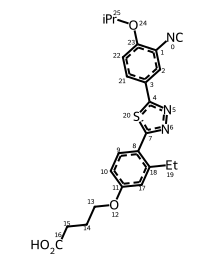 [C-]#[N+]c1cc(-c2nnc(-c3ccc(OCCCC(=O)O)cc3CC)s2)ccc1OC(C)C